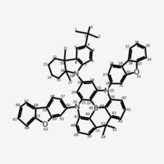 CC(C)(C)c1ccc2c(c1)C1(C)CCCCC1(C)N2c1cc2c3c(c1)N(c1ccc4c(c1)oc1ccccc14)c1cccc4c1B3c1c(cccc1C4(C)C)N2c1ccc2c(c1)oc1ccccc12